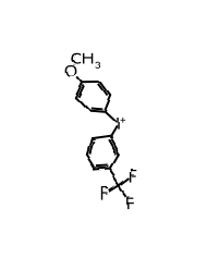 COc1ccc([I+]c2cccc(C(F)(F)F)c2)cc1